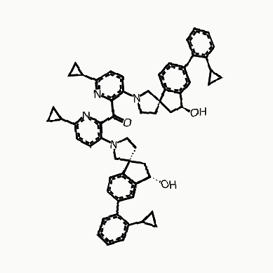 O=C(c1nc(C2CC2)ccc1N1CC[C@@]2(C[C@H](O)c3cc(-c4ccccc4C4CC4)ccc32)C1)c1nc(C2CC2)ccc1N1CC[C@@]2(C[C@H](O)c3cc(-c4ccccc4C4CC4)ccc32)C1